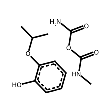 CC(C)Oc1ccccc1O.CNC(=O)OC(N)=O